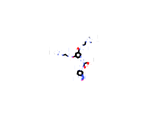 CCN(CC)CCCNC(=O)c1cc(N=NC(C(C)=O)C(=O)Nc2ccc3[nH]c(=O)[nH]c3c2)cc(C(=O)NCCCN(CC)CC)c1